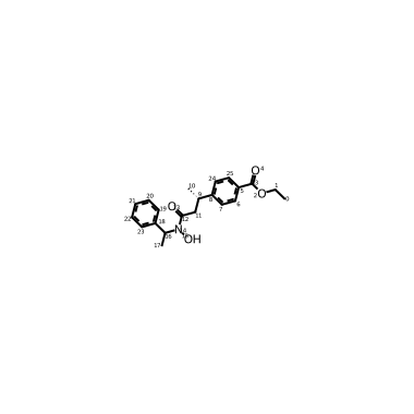 CCOC(=O)c1ccc([C@@H](C)CC(=O)N(O)C(C)c2ccccc2)cc1